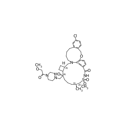 COCC(=O)N1CCN(C[C@@]2(O)CCC[C@H](C)[C@@H](C)S(=O)(=O)NC(=O)c3ccc4c(c3)N(CCCCc3cc(Cl)ccc3CO4)C[C@@H]3CCC32)CC1